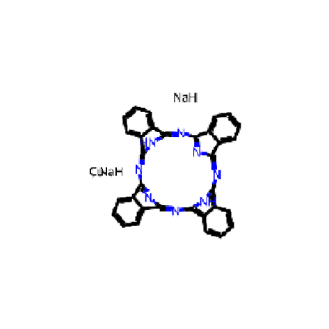 [Cu].[NaH].[NaH].c1ccc2c(c1)-c1nc-2nc2[nH]c(nc3nc(nc4[nH]c(n1)c1ccccc41)-c1ccccc1-3)c1ccccc21